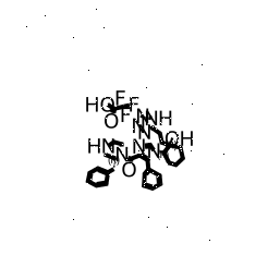 O=C(O)C(F)(F)F.O=C(c1ncn([C@@H]2CCCC[C@@]2(O)CCc2nnn[nH]2)c1-c1ccccc1)N1CCNC[C@H]1Cc1ccccc1